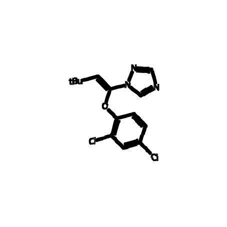 CC(C)(C)/C=C(\Oc1ccc(Cl)cc1Cl)n1cncn1